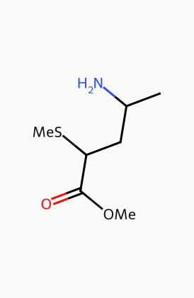 COC(=O)C(CC(C)N)SC